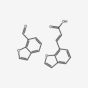 O=C(O)/C=C/c1cccc2ccoc12.O=Cc1cccc2ccoc12